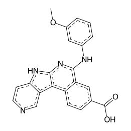 COc1cccc(Nc2nc3[nH]c4ccncc4c3c3ccc(C(=O)O)cc23)c1